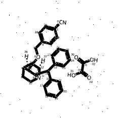 N#Cc1ccc(CO[C@@H]2C3CCN(CC3)[C@@H]2C(c2ccccc2)c2ccccc2)cc1.O=C(O)C(=O)O